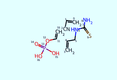 C=CC#N.C=CCNC(N)=S.C=COP(=O)(O)O